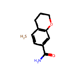 NC(=O)c1ccc2c(c1)OCCC2.S